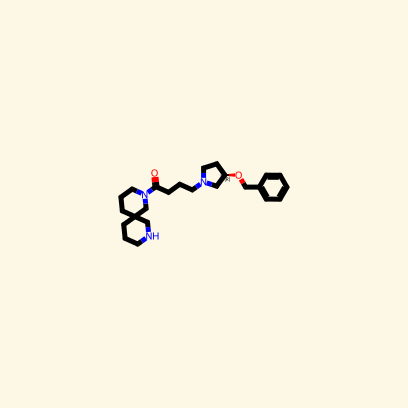 O=C(CCCN1CC[C@@H](OCc2ccccc2)C1)N1CCCC2(CCCNC2)C1